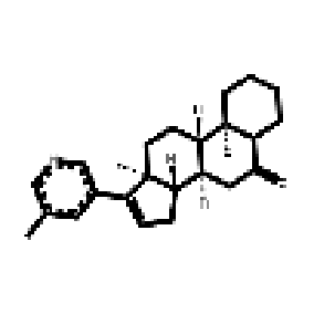 Cc1cncc(C2=CC[C@H]3[C@@H]4CC(=O)C5CCCC[C@]5(C)[C@H]4CC[C@]23C)c1